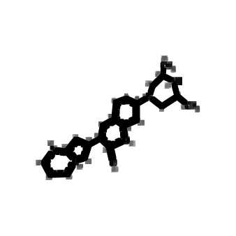 CC1CN(c2ccc3cc(-c4cc5ncccn5c4)c(=O)oc3c2)CC(C)N1